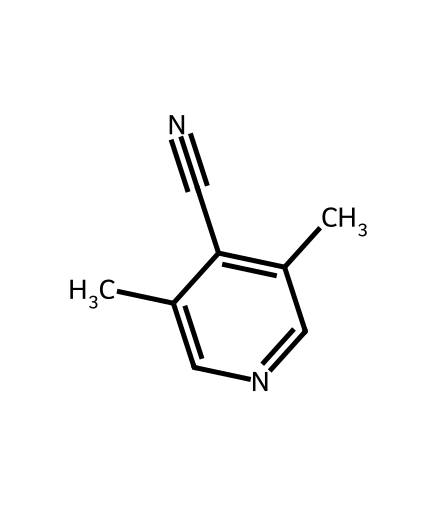 Cc1cncc(C)c1C#N